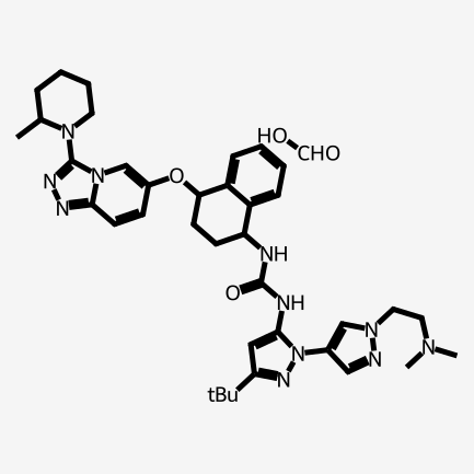 CC1CCCCN1c1nnc2ccc(OC3CCC(NC(=O)Nc4cc(C(C)(C)C)nn4-c4cnn(CCN(C)C)c4)c4ccccc43)cn12.O=CO